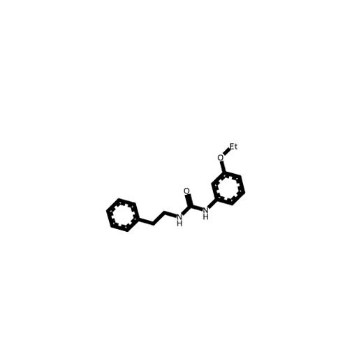 CCOc1cccc(NC(=O)NCCc2ccccc2)c1